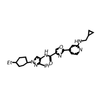 CCC1CCC(n2cc(NC(=O)c3coc(-c4ccnc(NCC5CC5)c4)n3)c(C(C)C)n2)CC1